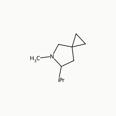 CC(C)C1CC2(CC2)CN1C